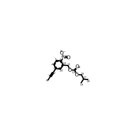 CC#Cc1ccc([N+](=O)[O-])c(COC(=O)OCC(C)C)c1